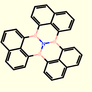 c1cc2c3c(cccc3c1)B1c3cccc4cccc(c34)B3c4cccc5cccc(c45)B2N13